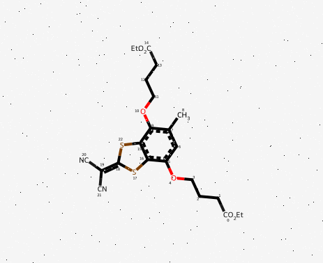 CCOC(=O)CCCOc1cc(C)c(OCCCC(=O)OCC)c2c1SC(=C(C#N)C#N)S2